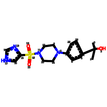 CC(C)(O)c1ccc(N2CCN(S(=O)(=O)c3c[nH]cn3)CC2)cc1